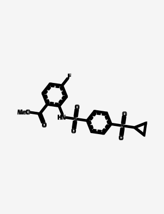 COC(=O)c1ccc(F)cc1NS(=O)(=O)c1ccc(S(=O)(=O)C2CC2)cc1